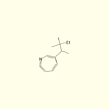 CCC(C)(C)C(C)C1=CN=C=CC=C1